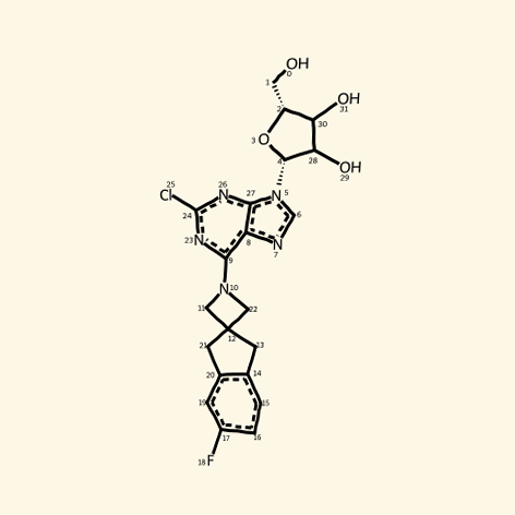 OC[C@H]1O[C@@H](n2cnc3c(N4CC5(Cc6ccc(F)cc6C5)C4)nc(Cl)nc32)C(O)C1O